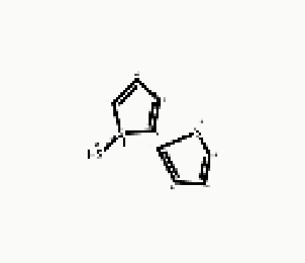 S[SH]1C=CC=C1.c1ccsc1